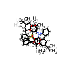 CC(C)(C)c1cc(-c2ccccc2N(c2ccccc2-c2cccc3cccc(-c4cc(C(C)(C)C)cc(C(C)(C)C)c4)c23)c2cccc3c2sc2ccccc23)cc(C(C)(C)C)c1